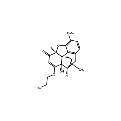 COc1ccc2c3c1O[C@H]1C(=O)C=C(OCCO)[C@@]4(O)[C@@H](C2)N(C)CC[C@]314